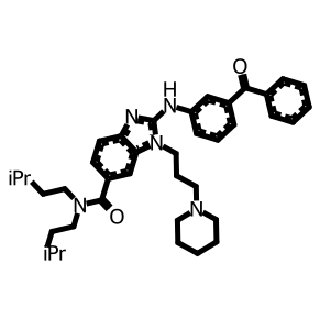 CC(C)CCN(CCC(C)C)C(=O)c1ccc2nc(Nc3cccc(C(=O)c4ccccc4)c3)n(CCCN3CCCCC3)c2c1